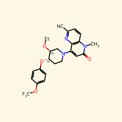 CCO[C@H]1CN(c2cc(=O)n(C)c3ccc(C#N)nc23)CC[C@@H]1Oc1ccc(OC(F)(F)F)cc1